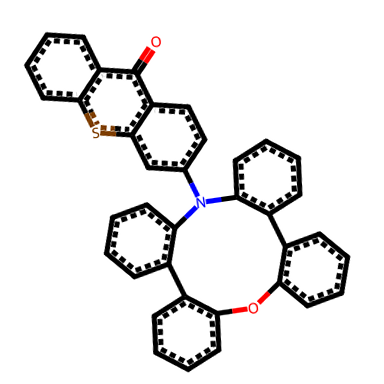 O=c1c2ccccc2sc2cc(N3c4ccccc4-c4ccccc4Oc4ccccc4-c4ccccc43)ccc12